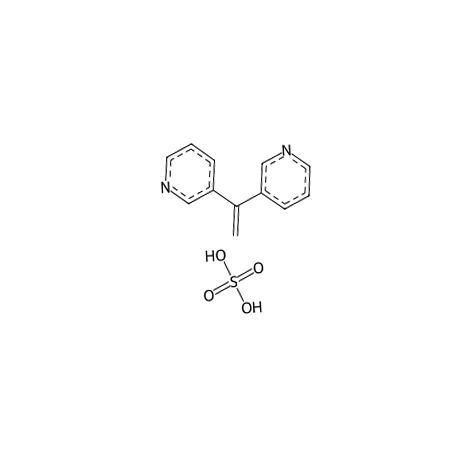 C=C(c1cccnc1)c1cccnc1.O=S(=O)(O)O